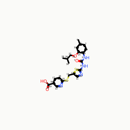 Cc1ccc(NC(=O)Nc2ncc(CSc3ccc(C(=O)O)cn3)s2)c(OCC(C)C)c1